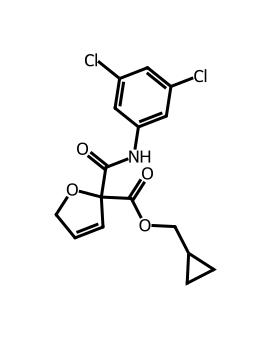 O=C(Nc1cc(Cl)cc(Cl)c1)C1(C(=O)OCC2CC2)C=CCO1